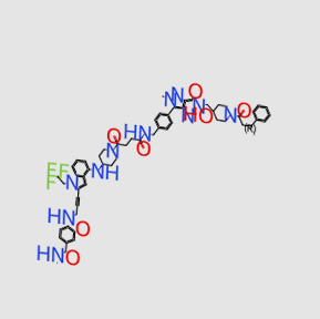 CNC(=O)c1ccc(NCC#Cc2cc3c(NC4CCN(C(=O)CCC(=O)NCc5ccc(-c6c7ncn(CC8(O)CCN(C(=O)C[C@@H](C)c9ccccc9)CC8)c(=O)c7nn6C)cc5)CC4)cccc3n2CC(F)(F)F)c(OC)c1